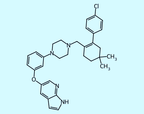 CC1(C)CCC(CN2CCN(c3cccc(Oc4cnc5[nH]ccc5c4)c3)CC2)=C(c2ccc(Cl)cc2)C1